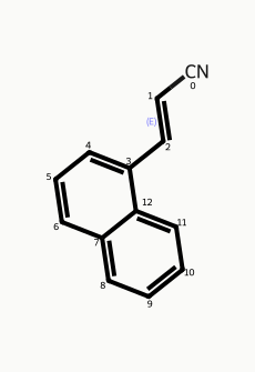 N#C/C=C/c1cccc2ccccc12